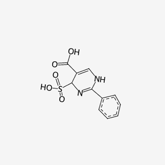 O=C(O)C1=CNC(c2ccccc2)=NC1S(=O)(=O)O